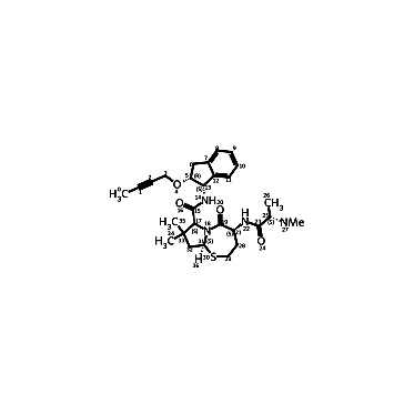 CC#CCO[C@@H]1Cc2ccccc2[C@@H]1NC(=O)[C@H]1N2C(=O)[C@@H](NC(=O)[C@H](C)NC)CCS[C@H]2CC1(C)C